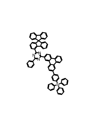 c1ccc(-c2nc(-c3ccc4c5ccccc5c5cc(-c6ccc([Si](c7ccccc7)(c7ccccc7)c7ccccc7)cc6)ccc5c4c3)nc(-c3cccc4c3-c3ccccc3C43c4ccccc4-c4ccccc43)n2)cc1